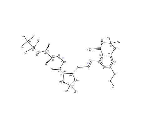 CCCc1cc(/C=C/C[C@@H]2OC(C)(C)O[C@@H]2C(C)/C=C\[C@@H](C)[C@H](C)O[Si](C)(C)C(C)(C)C)c2c(c1)OC(C)(C)OC2=O